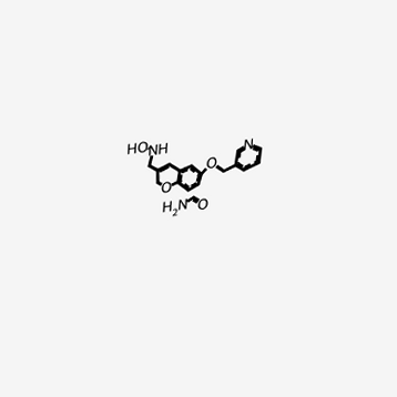 NC=O.ONCC1=Cc2cc(OCc3cccnc3)ccc2OC1